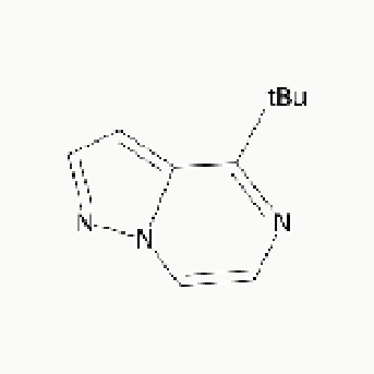 CC(C)(C)c1nccn2nccc12